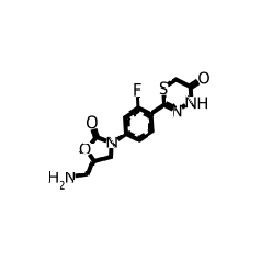 NCC1CN(c2ccc(C3=NNC(=O)CS3)c(F)c2)C(=O)O1